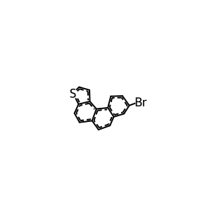 Brc1ccc2c(ccc3ccc4sccc4c32)c1